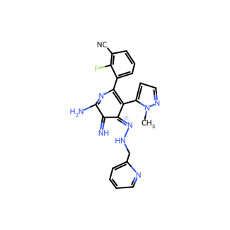 Cn1nccc1C1=C(c2cccc(C#N)c2F)N=C(N)C(=N)/C1=N\NCc1ccccn1